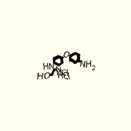 Cl.Cl.Nc1ccc(Oc2ccc3[nH]c(CO)nc3c2)cc1